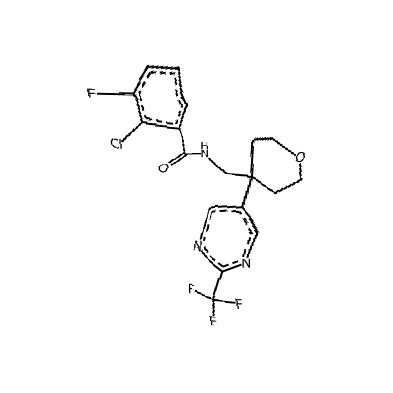 O=C(NCC1(c2cnc(C(F)(F)F)nc2)CCOCC1)c1cccc(F)c1Cl